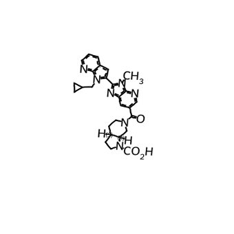 Cn1c(-c2cc3cccnc3n2CC2CC2)nc2cc(C(=O)N3CC[C@H]4CCN(C(=O)O)[C@H]4C3)cnc21